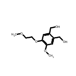 COCCOc1cc(CO)c(CO)cc1OC